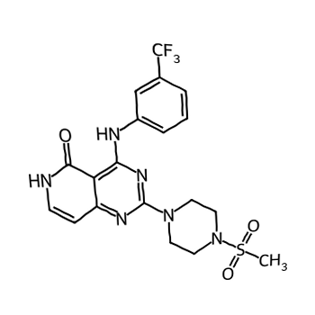 CS(=O)(=O)N1CCN(c2nc(Nc3cccc(C(F)(F)F)c3)c3c(=O)[nH]ccc3n2)CC1